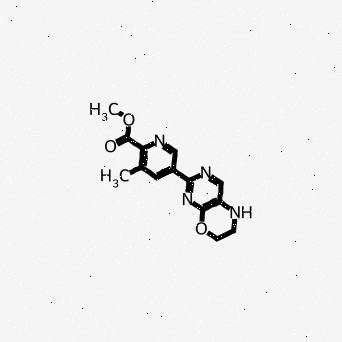 COC(=O)c1ncc(-c2ncc3c(n2)OCCN3)cc1C